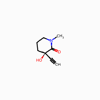 C#C[C@]1(O)CCCN(C)C1=O